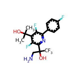 CC(C)(O)c1c(F)c(-c2ccc(F)cc2)nc(C(O)(CN)C(F)(F)F)c1F